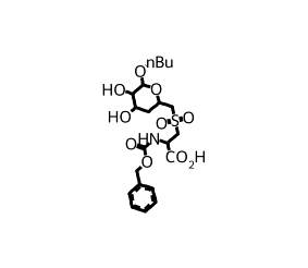 CCCCOC1OC(CS(=O)(=O)CC(NC(=O)OCc2ccccc2)C(=O)O)CC(O)C1O